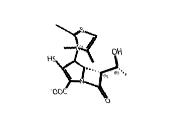 CC1=CSC(C)[N+]1(C)C1C(S)=C(C(=O)[O-])N2C(=O)[C@@H]([C@@H](C)O)C12